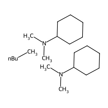 CCCCC.CN(C)C1CCCCC1.CN(C)C1CCCCC1